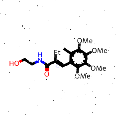 CC/C(=C\c1c(C)c(OC)c(OC)c(OC)c1OC)C(=O)NCCO